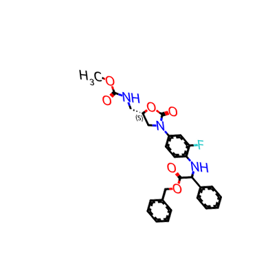 COC(=O)NC[C@H]1CN(c2ccc(NC(C(=O)OCc3ccccc3)c3ccccc3)c(F)c2)C(=O)O1